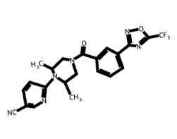 CC1CN(C(=O)c2cccc(-c3noc(C(F)(F)F)n3)c2)CC(C)N1c1ccc(C#N)cn1